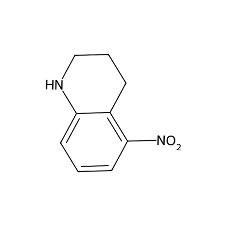 O=[N+]([O-])c1cccc2c1CCCN2